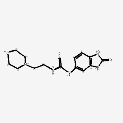 O=c1[nH]c2ccc(NC(=S)NCCN3CCOCC3)cc2[nH]1